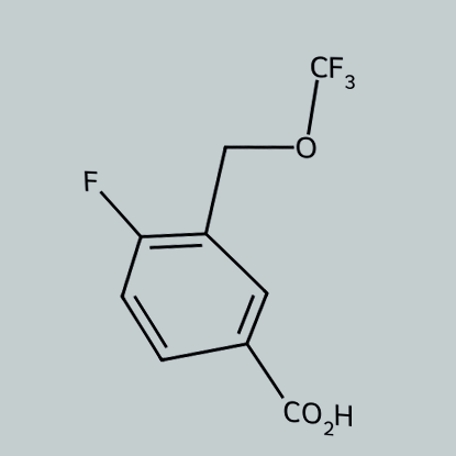 O=C(O)c1ccc(F)c(COC(F)(F)F)c1